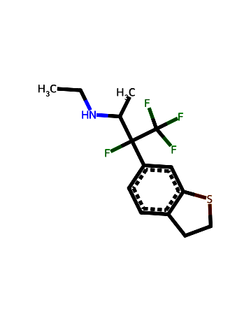 CCNC(C)C(F)(c1ccc2c(c1)SCC2)C(F)(F)F